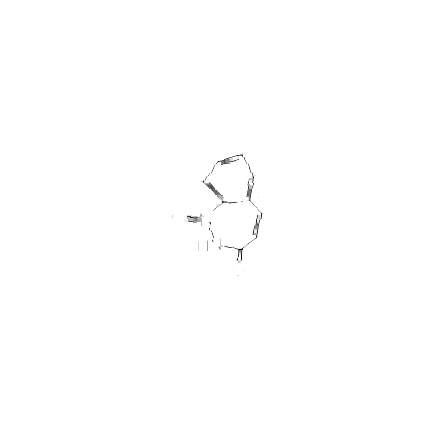 O=c1ccc2ccccc2[n+](=O)[nH]1